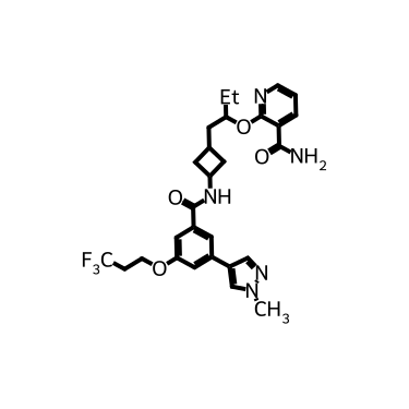 CCC(CC1CC(NC(=O)c2cc(OCCC(F)(F)F)cc(-c3cnn(C)c3)c2)C1)Oc1ncccc1C(N)=O